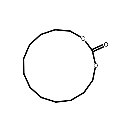 O=C1OCCCCCCCCCCCCO1